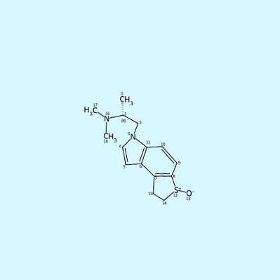 C[C@H](Cn1ccc2c3c(ccc21)[S+]([O-])CC3)N(C)C